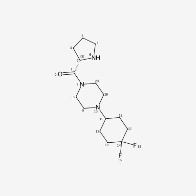 O=C([C@@H]1CCCN1)N1CCN(C2CCC(F)(F)CC2)CC1